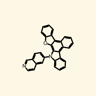 c1ccc2c(c1)oc1c2c2ccccc2c2c3ccccc3n(-c3ccc4cnccc4c3)c12